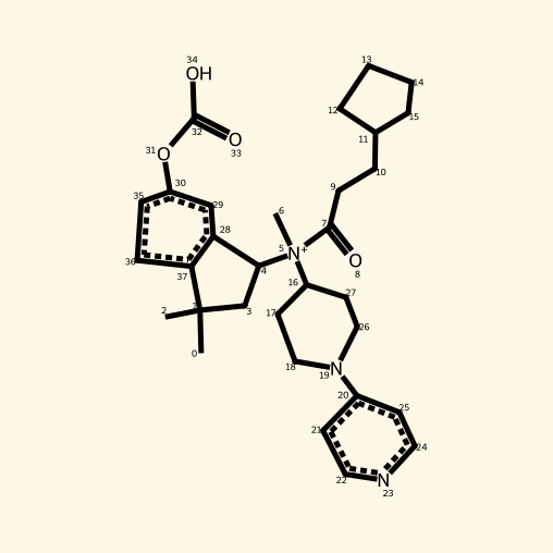 CC1(C)CC([N+](C)(C(=O)CCC2CCCC2)C2CCN(c3ccncc3)CC2)c2cc(OC(=O)O)ccc21